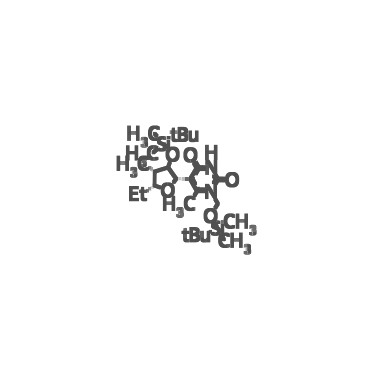 CC[C@H]1O[C@@H](c2c(C)n(CO[Si](C)(C)C(C)(C)C)c(=O)[nH]c2=O)C(O[Si](C)(C)C(C)(C)C)[C@H]1C